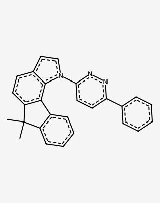 CC1(C)c2ccccc2-c2c1ccc1ccn(-c3ccc(-c4ccccc4)nn3)c21